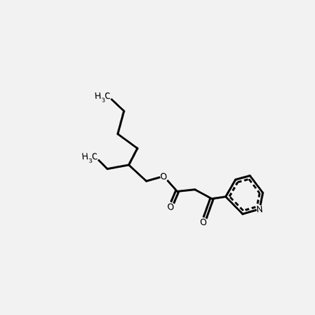 CCCCC(CC)COC(=O)CC(=O)c1cccnc1